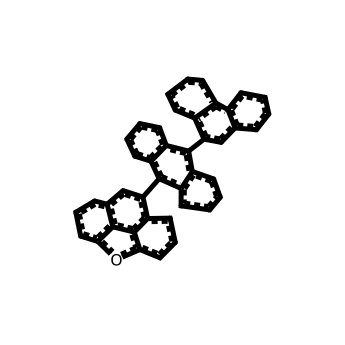 c1ccc2c(c1)cc(-c1c3ccccc3c(-c3cc4cccc5oc6cccc3c6c45)c3ccccc13)c1ccccc12